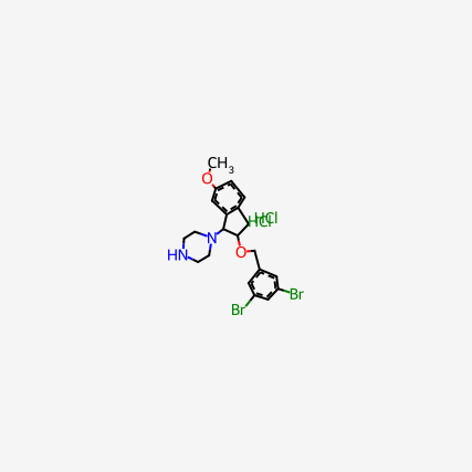 COc1ccc2c(c1)C(N1CCNCC1)C(OCc1cc(Br)cc(Br)c1)C2.Cl.Cl